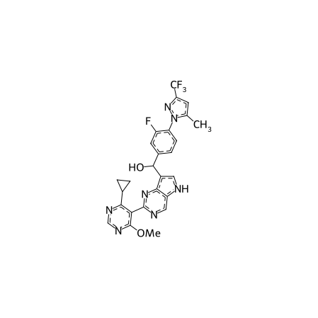 COc1ncnc(C2CC2)c1-c1ncc2[nH]cc(C(O)c3ccc(-n4nc(C(F)(F)F)cc4C)c(F)c3)c2n1